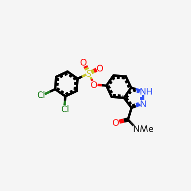 CNC(=O)c1n[nH]c2ccc(OS(=O)(=O)c3ccc(Cl)c(Cl)c3)cc12